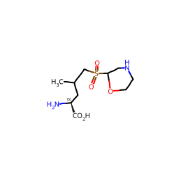 CC(C[C@H](N)C(=O)O)CS(=O)(=O)C1CNCCO1